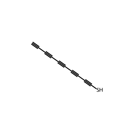 C#CC#CC#CC#CC#CS